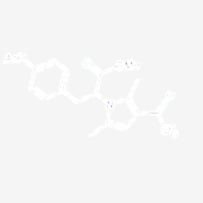 COC(=O)C(Cc1ccc(OC(C)=O)cc1)n1c(C)cc(C(=O)C(F)(F)F)c1C